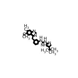 COc1cc2c(Cc3cccc(NC(=N)NC4=NCC(C(C)(C)C)=C4)c3)ncnc2cc1C